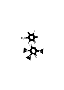 Bc1c(C)c(F)c(F)c(F)c1F.O=C1C=C(N2CC2)C(=O)C(N2CC2)=C1N1CC1